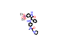 CCOP(=O)(OCC)c1ccc2c(c1)C(=C(Nc1ccc(N(C)C(=O)CN3CCCCC3)cc1)c1ccccc1)C(=O)N2